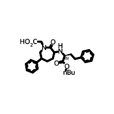 CCCCOC(=O)[C@H](CCc1ccccc1)NC1CCC(c2ccccc2)CN(CC(=O)O)C1=O